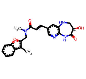 Cc1c(CN(C)C(=O)/C=C/c2cnc3c(c2)NC[C@@H](O)C(=O)N3)oc2ccccc12